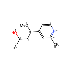 COC(CC(O)C(F)(F)F)c1ccnc(C(F)(F)F)c1